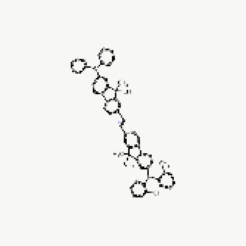 Cc1ccccc1N(c1ccc2c(c1)C(C)(C)c1cc(/C=C/c3ccc4c(c3)C(C)(C)c3cc(N(c5ccccc5)c5ccccc5)ccc3-4)ccc1-2)c1ccccc1C